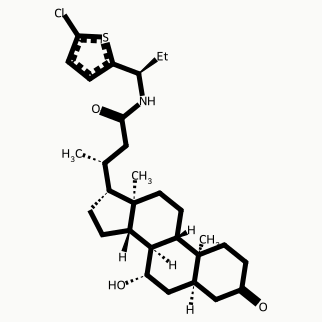 CC[C@@H](NC(=O)C[C@@H](C)[C@H]1CC[C@H]2[C@@H]3[C@@H](O)C[C@@H]4CC(=O)CC[C@]4(C)[C@H]3CC[C@]12C)c1ccc(Cl)s1